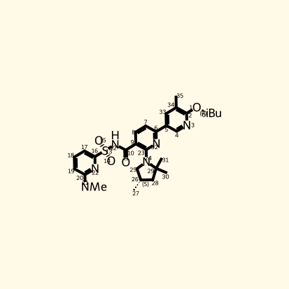 CC[C@@H](C)Oc1ncc(-c2ccc(C(=O)NS(=O)(=O)c3cccc(NC)n3)c(N3C[C@@H](C)CC3(C)C)n2)cc1C